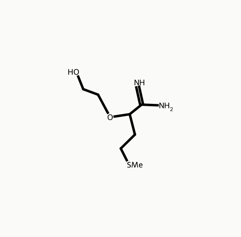 CSCCC(OCCO)C(=N)N